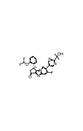 CC(C)(O)c1ncc(-c2cn3c4c(nc3cc2F)C(=O)C[C@@H]4c2ccccc2OC(F)F)cn1